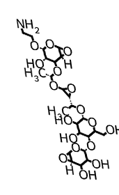 CC(O[C@@H]1OC(CO)[C@@H](O[C@H]2OC3O[C@@H]3C(O)C2O)C(O)C1O)[C@H]1OC1O[C@H](C)OC1[C@H]2OC2O[C@@H](OCCN)[C@H]1O